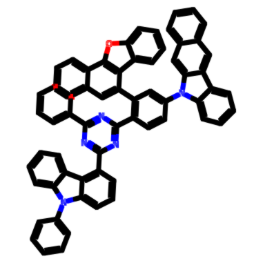 c1ccc(-c2nc(-c3ccc(-n4c5ccccc5c5cc6ccccc6cc54)cc3-c3cc4ccccc4c4oc5ccccc5c34)nc(-c3cccc4c3c3ccccc3n4-c3ccccc3)n2)cc1